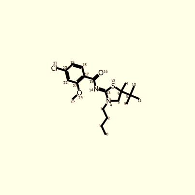 CCCCN1CC(C)(C(C)(C)C)SC1=NC(=O)c1ccc(Cl)cc1OC